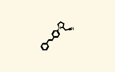 N#CCC1CCCN1c1ccc(C=Cc2ccccc2)cc1